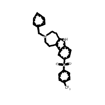 O=S(=O)(c1ccc(C(F)(F)F)cc1)c1ccc2[nH]c3c(c2c1)CCN(Cc1ccccc1)CC3